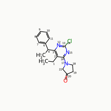 CCc1c(C(C)c2ccccc2)nc(Cl)nc1N1CCC(=O)C1